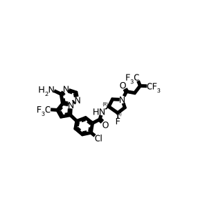 Nc1ncnn2c(-c3ccc(Cl)c(C(=O)N[C@@H]4CN(C(=O)CC(C(F)(F)F)C(F)(F)F)C[C@@H]4F)c3)cc(C(F)(F)F)c12